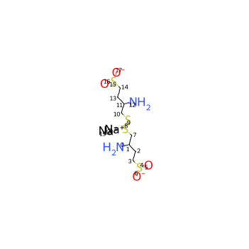 N[C@H](CCS(=O)[O-])CSSC[C@H](N)CCS(=O)[O-].[Na+].[Na+]